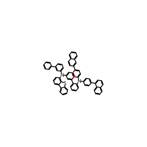 c1ccc(-c2cccc(N(c3cccc(-c4ccccc4N(c4ccc(-c5ccc6ccccc6c5)cc4)c4ccc(-c5cccc6ccccc56)cc4)c3)c3cccc4c3sc3ccccc34)c2)cc1